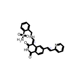 NS(=O)(=O)c1ccccc1CN/C=C1\C(=O)NC(=O)c2ccc(/C=C/c3ccccn3)cc21